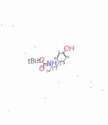 C[C@H](Cc1ccc(O)cc1)NC(=O)OC(C)(C)C